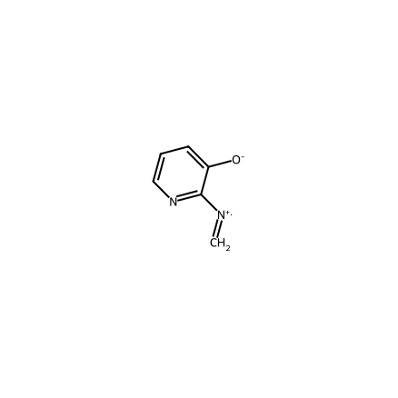 C=[N+]c1ncccc1[O-]